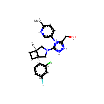 COc1ccc(-n2c(CO)nnc2N2C[C@@H]3CC[C@]3(c3ccc(F)cc3Cl)C2)cn1